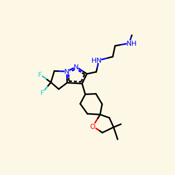 CNCCNCc1nn2c(c1C1CCC3(CC1)CC(C)(C)CO3)CC(F)(F)C2